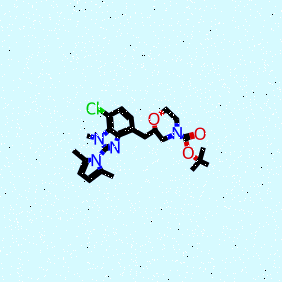 Cc1ccc(C)n1-c1nc2c(CC3CN(C(=O)OC(C)(C)C)CCO3)ccc(Cl)c2n1C